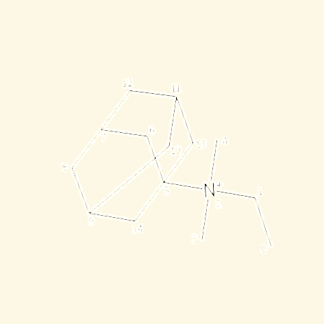 CC[N+](C)(C)C12CC3CC(CC(C3)C1)C2